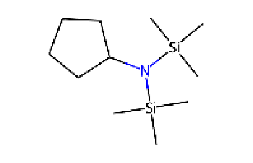 C[Si](C)(C)N(C1CCCC1)[Si](C)(C)C